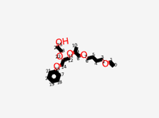 C=COCCCCOCC(C)OCC(COc1ccccc1)OCCO